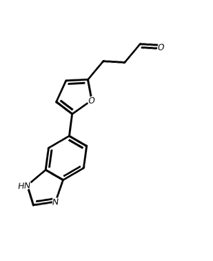 O=CCCc1ccc(-c2ccc3nc[nH]c3c2)o1